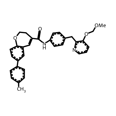 COCOc1cccnc1Cc1ccc(NC(=O)C2=Cc3cc(-c4ccc(C)cc4)ccc3OCC2)cc1